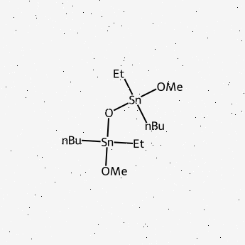 CCC[CH2][Sn]([CH2]C)([O]C)[O][Sn]([CH2]C)([CH2]CCC)[O]C